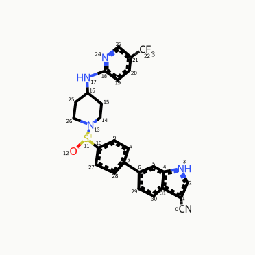 N#Cc1c[nH]c2cc(-c3ccc([S+]([O-])N4CCC(Nc5ccc(C(F)(F)F)cn5)CC4)cc3)ccc12